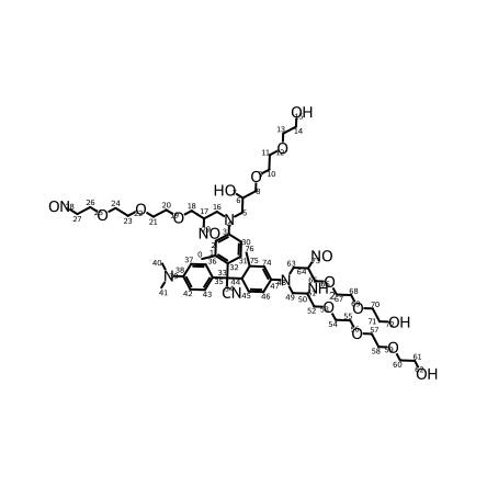 Cc1cc(N(CC(O)COCCOCCO)CC(COCCOCCOCCN=O)N=O)ccc1C(C#N)(c1ccc(N(C)C)cc1)C1C=CC(N(CC(N)COCCOCCOCCO)CC(COCCOCCO)N=O)=CC1C